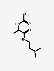 CC(NC(=O)C(C)(C)C)C(=O)NCCN(C)C